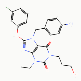 CCn1c(=O)n(CCCO)c(=O)c2c1nc(Oc1cccc(Cl)c1)n2Cc1ccc(N)cc1